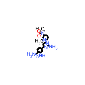 CCN(C(=O)[O-])[C@@H]1CCC[N+](C)(c2cc(-c3ccc4c(N)n[nH]c4c3)nc(N)n2)C1